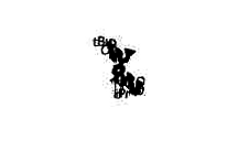 CC(C)[C@H]1COC(=O)N1c1ccnc(N[C@@H](C)c2ccc(C(CC3CC3)N3CCN(C(=O)OC(C)(C)C)CC3)cc2)n1